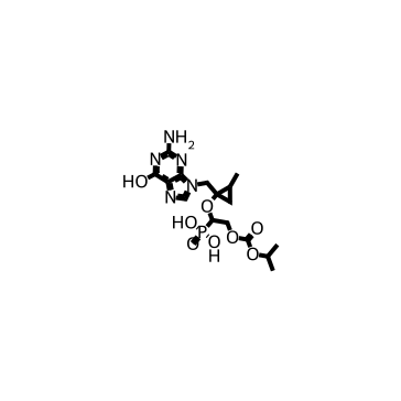 CC(C)OC(=O)OCC(OC1(Cn2cnc3c(O)nc(N)nc32)CC1C)P(=O)(O)O